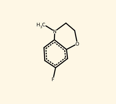 CN1CCOc2cc(F)ccc21